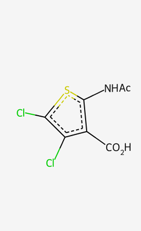 CC(=O)Nc1sc(Cl)c(Cl)c1C(=O)O